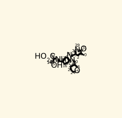 Cc1cc(-c2nc3cc(CN[C@H](C(=O)O)[C@@H](C)O)ccc3n2C[C@@H]2CCCOC2)cn(C)c1=O